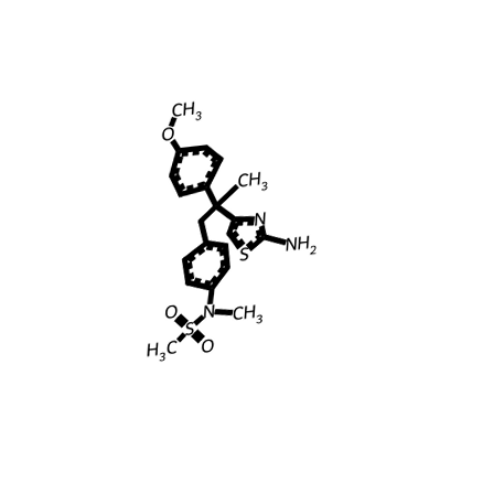 COc1ccc(C(C)(Cc2ccc(N(C)S(C)(=O)=O)cc2)c2csc(N)n2)cc1